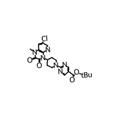 Cn1c(=O)c(=O)n(C2CCN(c3ncc(C(=O)OC(C)(C)C)cn3)CC2)c2ncc(Cl)cc21